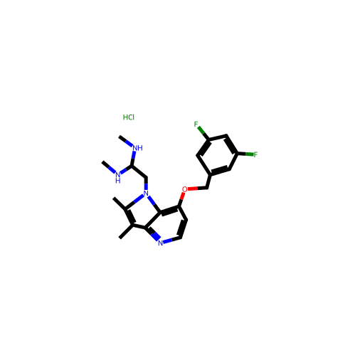 CNC(Cn1c(C)c(C)c2nccc(OCc3cc(F)cc(F)c3)c21)NC.Cl